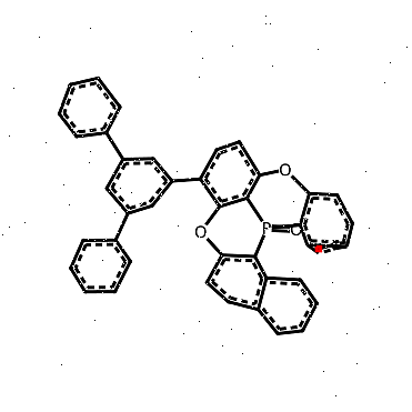 O=P12c3c(ccc(-c4cc(-c5ccccc5)cc(-c5ccccc5)c4)c3Oc3ccc4ccccc4c31)Oc1ccc3ccccc3c12